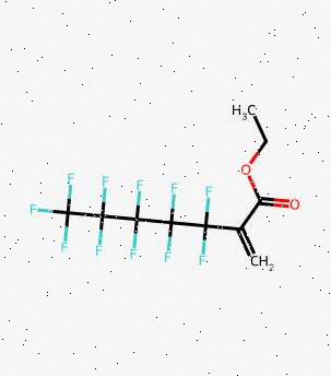 C=C(C(=O)OCC)C(F)(F)C(F)(F)C(F)(F)C(F)(F)C(F)(F)F